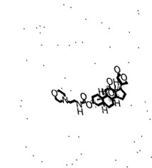 C[C@]12CC[C@H](OC(=O)NCCN3CCOCC3)C[C@H]1CC[C@@H]1[C@@H]2C[C@@H](O)[C@]2(C)[C@@H](C3=CC(=O)OC3)CC[C@]12O